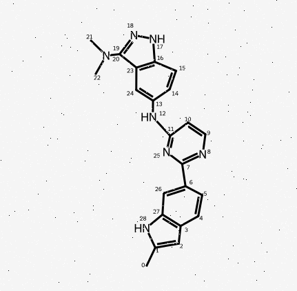 Cc1cc2ccc(-c3nccc(Nc4ccc5[nH]nc(N(C)C)c5c4)n3)cc2[nH]1